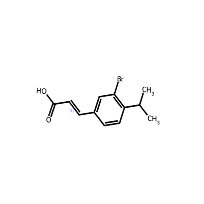 CC(C)c1ccc(/C=C/C(=O)O)cc1Br